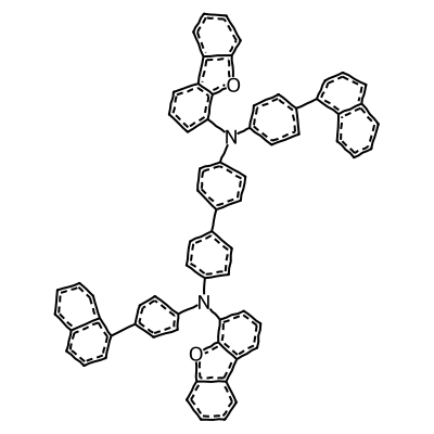 c1ccc2c(-c3ccc(N(c4ccc(-c5ccc(N(c6ccc(-c7cccc8ccccc78)cc6)c6cccc7c6oc6ccccc67)cc5)cc4)c4cccc5c4oc4ccccc45)cc3)cccc2c1